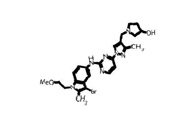 COCCn1c(C)c(Br)c2cc(Nc3nccc(-n4cc(CN5CCC(O)C5)c(C)n4)n3)ccc21